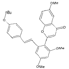 CCCCOc1ccc(/C=C/c2cc(OC)cc(OC)c2-c2cc(=O)c3cc(OC)ccc3o2)cc1